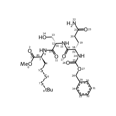 COC(=O)[C@H](CSSSC(C)(C)C)NC(=O)[C@H](CO)NC(=O)[C@H](CCC(N)=O)NC(=O)OCc1ccccc1